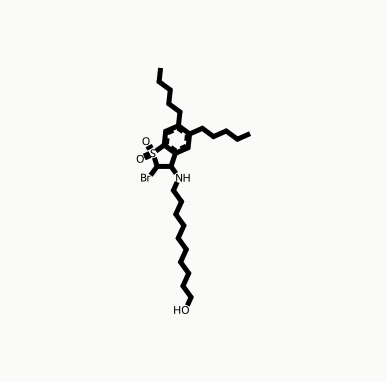 CCCCCc1cc2c(cc1CCCCC)S(=O)(=O)C(Br)C2NCCCCCCCCCCO